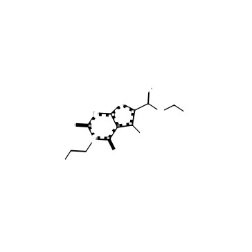 CCOC(O)c1sc2[nH]c(=O)n(CCO)c(=O)c2c1C